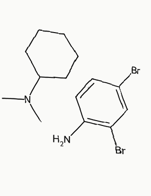 CN(C)C1CCCCC1.Nc1ccc(Br)cc1Br